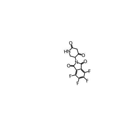 O=C1CC(=O)C(N2C(=O)c3c(F)c(F)c(F)c(F)c3C2=O)CN1